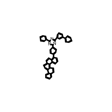 c1ccc(-c2cccc(-c3nc(-c4ccccc4)nc(-c4ccc(-c5cccc6c5ccc5ccc7c8ccccc8ccc7c56)cc4)n3)c2)cc1